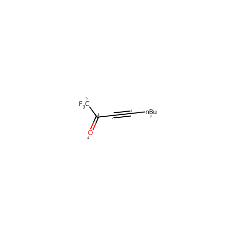 CCCCC#CC(=O)C(F)(F)F